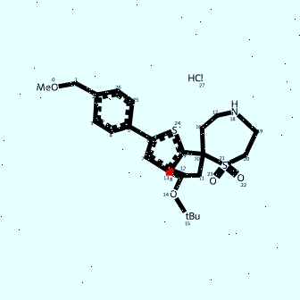 COCc1ccc(-c2ccc(C3(CC(=O)OC(C)(C)C)CCNCCS3(=O)=O)s2)cc1.Cl